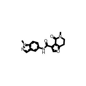 CN1CCc2occ(C(=O)Nc3ccc4c(cnn4C)c3)c2C1=O